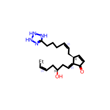 CC/C=C\C[C@H](O)C/C=C1/C(=O)C=C[C@@H]1C/C=C\CCCC1=NNNN1